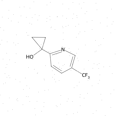 OC1(c2ccc(C(F)(F)F)cn2)CC1